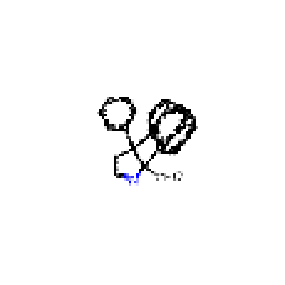 O=CC1(c2ccccc2)N=CCC1(c1ccccc1)c1ccccc1